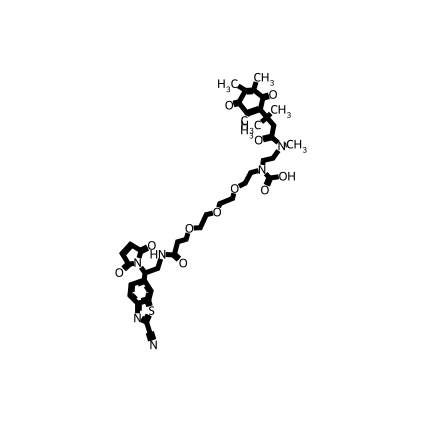 CC1=C(C)C(=O)C(C(C)(C)CC(=O)N(C)CCN(CCOCCOCCOCCC(=O)NCC(c2ccc3nc(C#N)sc3c2)N2C(=O)C=CC2=O)C(=O)O)=C(C)C1=O